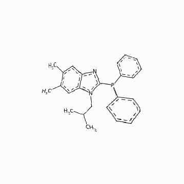 Cc1cc2nc(P(c3ccccc3)c3ccccc3)n(CC(C)C)c2cc1C